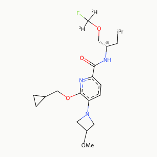 [2H]C([2H])(F)OC[C@H](CC(C)C)NC(=O)c1ccc(N2CC(OC)C2)c(OCC2CC2)n1